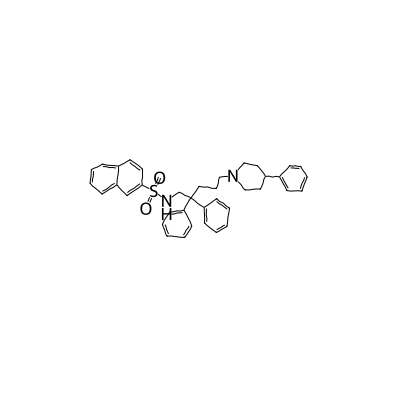 O=S(=O)(NCC(CCCN1CCC(c2ccccc2)CC1)(c1ccccc1)c1ccccc1)c1ccc2ccccc2c1